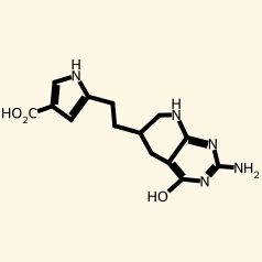 Nc1nc(O)c2c(n1)NCC(CCc1cc(C(=O)O)c[nH]1)C2